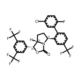 O=C1O[C@H](c2cc(C(F)(F)F)cc(C(F)(F)F)c2)[C@@H]2CC[C@@H](c3cc(C(F)(F)F)ccc3-c3cc(Cl)ccc3F)N12